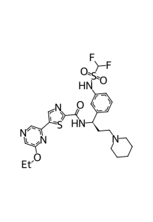 CCOc1cncc(-c2cnc(C(=O)N[C@H](CCN3CCCCC3)c3cccc(NS(=O)(=O)C(F)F)c3)s2)n1